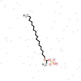 CCCCCCCCCCCCCCCCCCOC(C)OS(=O)(=O)O